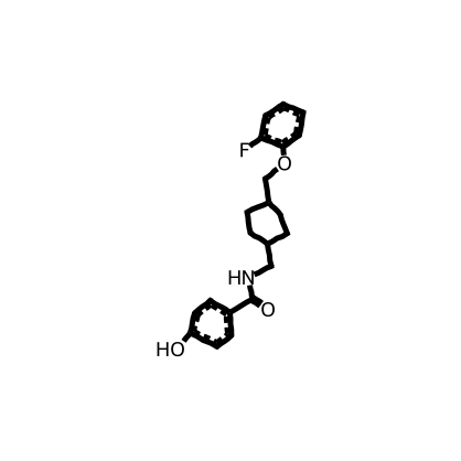 O=C(NCC1CCC(COc2ccccc2F)CC1)c1ccc(O)cc1